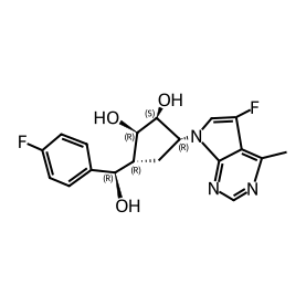 Cc1ncnc2c1c(F)cn2[C@@H]1C[C@H]([C@@H](O)c2ccc(F)cc2)[C@@H](O)[C@H]1O